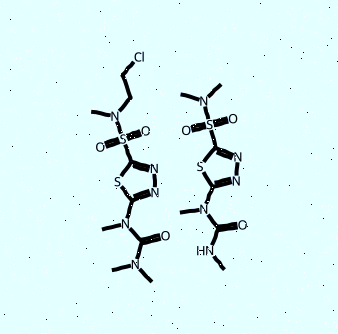 CN(C)C(=O)N(C)c1nnc(S(=O)(=O)N(C)CCCl)s1.CNC(=O)N(C)c1nnc(S(=O)(=O)N(C)C)s1